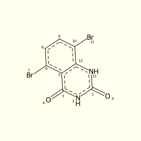 O=c1[nH]c(=O)c2c(Br)ccc(Br)c2[nH]1